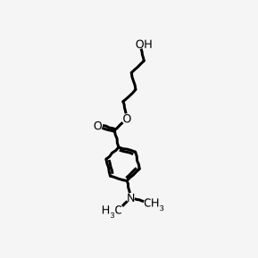 CN(C)c1ccc(C(=O)OCCCCO)cc1